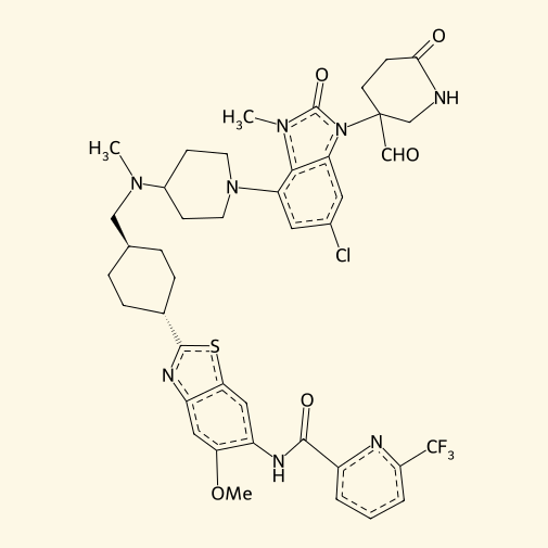 COc1cc2nc([C@H]3CC[C@H](CN(C)C4CCN(c5cc(Cl)cc6c5n(C)c(=O)n6C5(C=O)CCC(=O)NC5)CC4)CC3)sc2cc1NC(=O)c1cccc(C(F)(F)F)n1